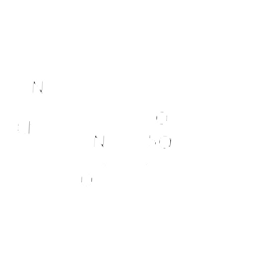 O=C1CC2(CCCCC2Cc2ccccc2)S(=O)(=O)CCN1Cc1cccnc1Cl